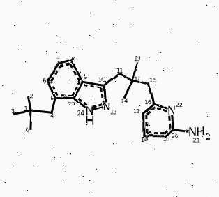 CC(C)(C)Cc1cccc2c(CC(C)(C)Cc3cccc(N)n3)n[nH]c12